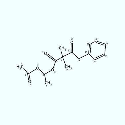 CC(=O)OC(C)OC(=O)C(C)(C)C(=O)Cc1ccccc1